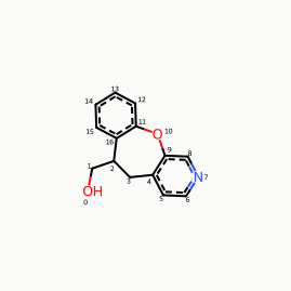 OCC1Cc2ccncc2Oc2ccccc21